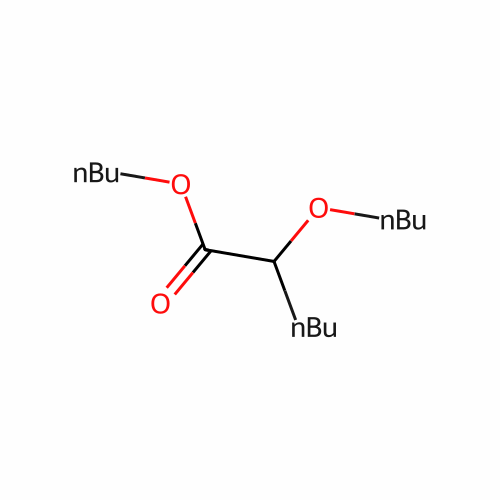 CCCCOC(=O)C(CCCC)OCCCC